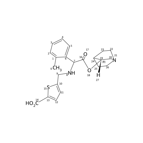 Cc1ccccc1C(NCc1ccc(C(=O)O)s1)C(=O)O[C@H]1CN2CCC1CC2